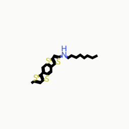 CCCCCCCCNc1cc2sc3cc4c(cc3c2s1)sc1cc(C)sc14